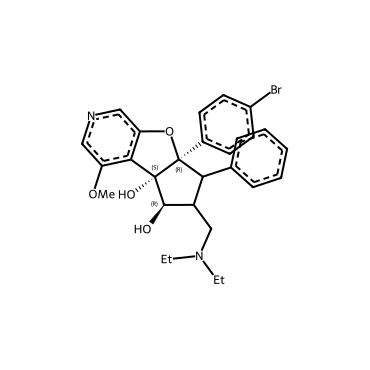 CCN(CC)CC1C(c2ccccc2)[C@]2(c3ccc(Br)cc3)Oc3cncc(OC)c3[C@]2(O)[C@@H]1O